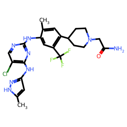 Cc1cc(Nc2nc(Nc3cc(C(F)(F)F)c(C4CCN(CC(N)=O)CC4)cc3C)ncc2Cl)n[nH]1